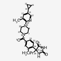 Cc1cc(C(=O)N2CCN(c3ncc(C4CC4)cc3C)CC2)ccc1C1(C(C)C)NC(=O)NC1=O